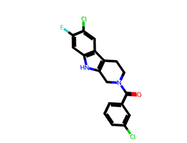 O=C(c1cccc(Cl)c1)N1CCc2c([nH]c3cc(F)c(Cl)cc23)C1